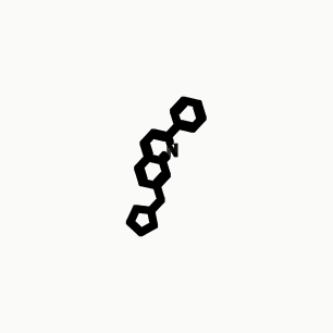 c1ccc(-c2ccc3ccc(CC4CCCC4)cc3n2)cc1